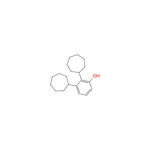 Oc1cccc(C2CCCCCC2)c1C1CCCCCC1